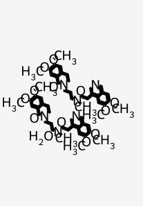 COc1cc2c(cc1OC)C(=O)N(CCCN(C)C(=O)Cc1cncc3cc(OC)c(OC)cc13)CC2.COc1cc2c(cc1OC)C(=O)N(CCCN(C)C(=O)Cc1cncc3cc(OC)c(OC)cc13)CC2.O